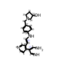 N=C/C(=C\N)c1ccncc1/C=C/Nc1ccc(CN2CCC(O)C2)cc1